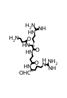 N=C(N)NCCC[C@H]([C]=O)NC(=O)CCNC(=O)[C@@H](CCCNC(=N)N)NC(=O)CCN